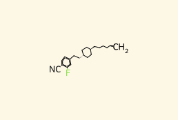 C=CCCCC[C@H]1CC[C@H](CCc2ccc(C#N)c(F)c2)CC1